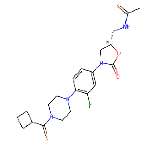 CC(=S)NC[C@H]1CN(c2ccc(N3CCN(C(=S)C4CCC4)CC3)c(F)c2)C(=O)O1